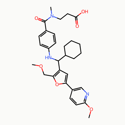 COCc1oc(-c2ccc(OC)nc2)cc1C(Nc1ccc(C(=O)N(C)CCC(=O)O)cc1)C1CCCCC1